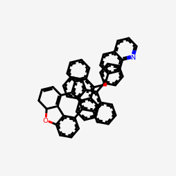 C1=CC(c2c3ccccc3c(Cc3ccc4cccnc4c3)c3ccccc23)=C2c3c(cccc3-c3c4ccccc4c(-c4ccccc4)c4ccccc34)OC2C1